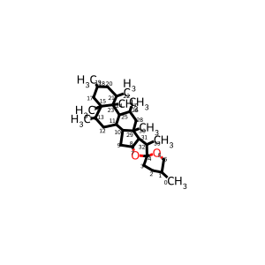 CC1CCC2(OC1)OC1CC3C4CC(C)C5(C)CC(C)CC(C)C5(C)C4C(C)CC3(C)C1C2C